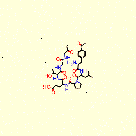 CC(=O)CNC(=O)CNC(=O)C(NC(=O)C(CCC(=O)O)NC(=O)C1CCCN1C(=O)C(CC(C)C)NC(=O)C(N)Cc1ccc(C(C)=O)cc1)C(C)O